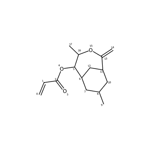 C=CC(=O)OC1C2CC(C)CC(C2)C(=C)OC1C